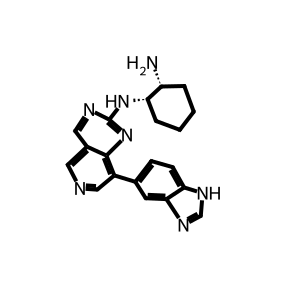 N[C@@H]1CCCC[C@@H]1Nc1ncc2cncc(-c3ccc4[nH]cnc4c3)c2n1